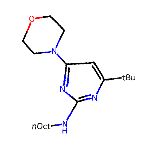 CCCCCCCCNc1nc(N2CCOCC2)cc(C(C)(C)C)n1